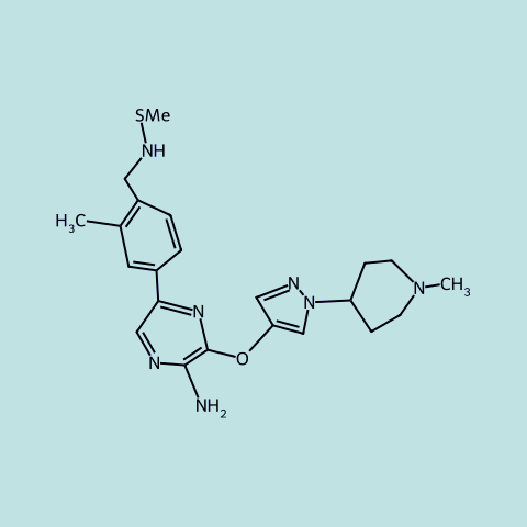 CSNCc1ccc(-c2cnc(N)c(Oc3cnn(C4CCN(C)CC4)c3)n2)cc1C